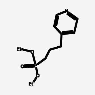 CCOP(=O)(CCCc1ccncc1)OCC